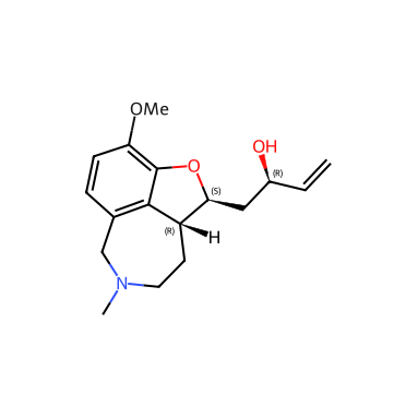 C=C[C@H](O)C[C@@H]1Oc2c(OC)ccc3c2[C@H]1CCN(C)C3